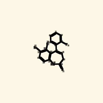 Fc1ccccc1C1=NCC(=S)Nc2ccc(Br)c(Cl)c21